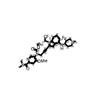 COc1cc(C(=O)N(C)C)ncc1N(CC#Cc1cc2c(N[C@@H]3CCN(C)C[C@@H]3F)cccc2n1CC(F)(F)F)C(=O)OC(C)(C)C